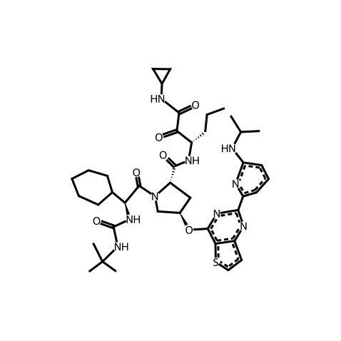 CCC[C@H](NC(=O)[C@@H]1C[C@@H](Oc2nc(-c3cccc(NC(C)C)n3)nc3ccsc23)CN1C(=O)[C@@H](NC(=O)NC(C)(C)C)C1CCCCC1)C(=O)C(=O)NC1CC1